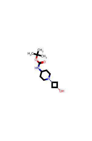 CC(C)(C)OC(=O)NC1CCN([C@H]2C[C@@H](O)C2)CC1